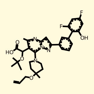 C=CCOC1(C)CCN(c2c(C(OC(C)(C)C)C(=O)O)c(C)nc3cc(-c4cccc(-c5c(O)cc(F)cc5F)c4)nn23)CC1